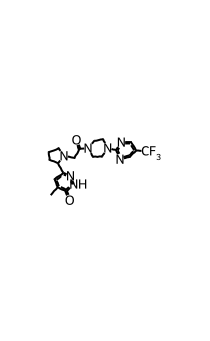 Cc1cc(C2CCCN2CC(=O)N2CCN(c3ncc(C(F)(F)F)cn3)CC2)n[nH]c1=O